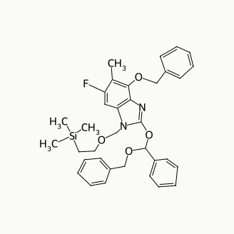 Cc1c(F)cc2c(nc(OC(OCc3ccccc3)c3ccccc3)n2COCC[Si](C)(C)C)c1OCc1ccccc1